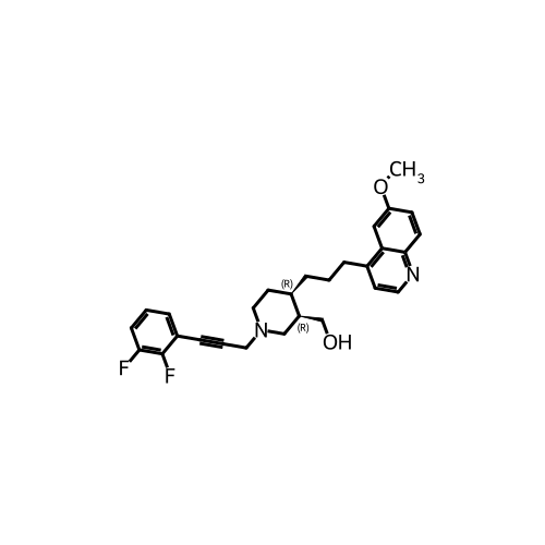 COc1ccc2nccc(CCC[C@@H]3CCN(CC#Cc4cccc(F)c4F)C[C@@H]3CO)c2c1